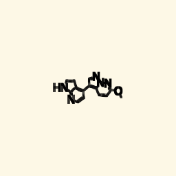 COc1ccc2c(-c3ccnc4[nH]ccc34)cnn2n1